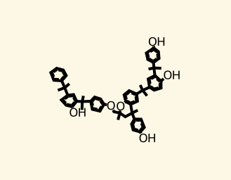 CC1(COc2ccc(C(C)(C)c3cc(C(C)(C)c4ccccc4)ccc3O)cc2)CC(C)(c2ccc(O)cc2)c2cc(C(C)(C)c3ccc(O)c(C(C)(C)c4ccc(O)cc4)c3)ccc2O1